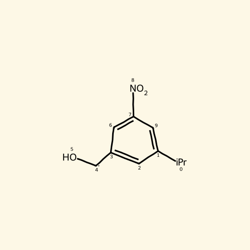 CC(C)c1cc([CH]O)cc([N+](=O)[O-])c1